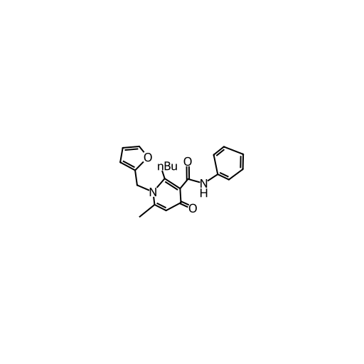 CCCCc1c(C(=O)Nc2ccccc2)c(=O)cc(C)n1Cc1ccco1